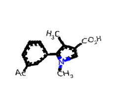 CC(=O)c1cccc(-c2c(C)c(C(=O)O)cn2C)c1